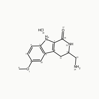 COc1ccc2[nH]c3c(c2c1)CC(CN)NC3=O.Cl